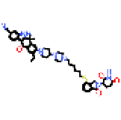 CCc1cc2c(cc1N1CCC(N3CCN(CCCCCCSc4cccc5c4CN(C4CCC(=O)NC4=O)C5=O)CC3)CC1)C(C)(C)c1[nH]c3cc(C#N)ccc3c1C2=O